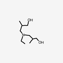 CCN(CC(C)CO)CC(C)CO